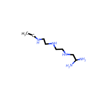 CCNCCNCCNCC(N)N